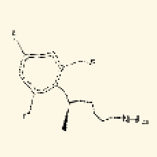 C[C@H](CCN)c1c(F)cc(F)cc1F